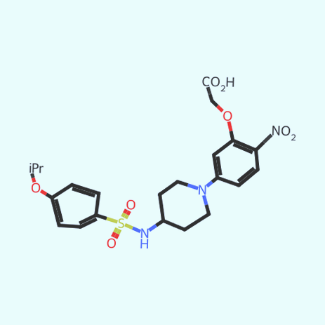 CC(C)Oc1ccc(S(=O)(=O)NC2CCN(c3ccc([N+](=O)[O-])c(OCC(=O)O)c3)CC2)cc1